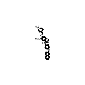 COc1cc2c(Nc3ccc(Oc4ccc5ccccc5c4)cc3)ncnc2cc1OCC1CCN(C)CC1